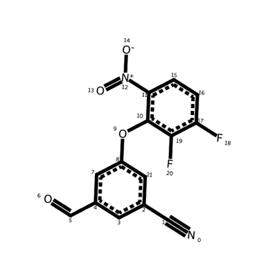 N#Cc1cc(C=O)cc(Oc2c([N+](=O)[O-])ccc(F)c2F)c1